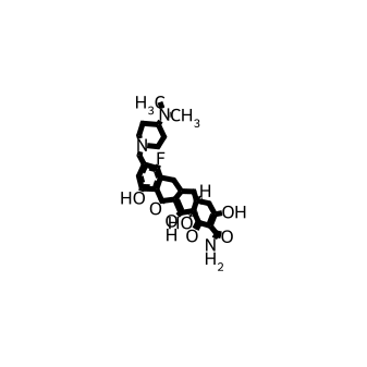 CN(C)C1CCN(Cc2cc(O)c3c(c2F)CC2C[C@H]4CC(O)=C(C(N)=O)C(=O)[C@@]4(O)C(O)=C2C3=O)CC1